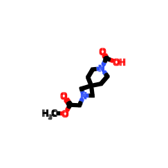 COC(=O)CN1CC2(CCN(C(=O)O)CC2)C1